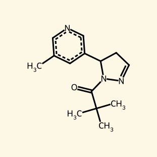 Cc1cncc(C2CC=NN2C(=O)C(C)(C)C)c1